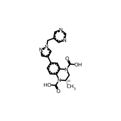 C[C@H]1CN(C(=O)O)c2cc(-c3cnn(Cc4cncnc4)c3)ccc2N1C(=O)O